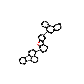 c1ccc2c(c1)-c1cccc3c(-c4cccc5c4oc4ccc(-c6cc7ccccc7c7ccccc67)cc45)ccc-2c13